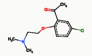 CC(=O)c1cc(Cl)ccc1OCCN(C)C